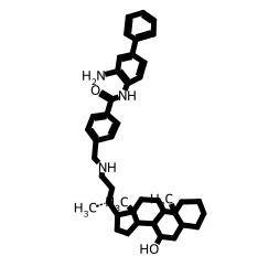 C[C@H](CCNCc1ccc(C(=O)Nc2ccc(-c3ccccc3)cc2N)cc1)C1CCC2C3C(O)CC4CCCCC4(C)C3CCC21C